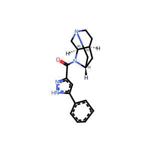 O=C(c1cc(-c2ccccc2)[nH]n1)N1[C@H]2C[C@@H]3CCN(C2)C[C@@H]31